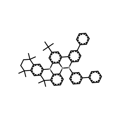 CC(C)(C)c1cc2c3c(c1)N1c4cc5c(cc4C(C)(C)c4cccc(c41)B3N(c1cccc(-c3ccccc3)c1)c1ccc(-c3ccccc3)cc1-2)C(C)(C)CCC5(C)C